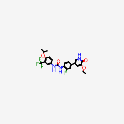 CCOc1cc(-c2ccc(NC(=O)Nc3ccc(OC(C)C)c(C(F)(F)F)c3)c(F)c2)c[nH]c1=O